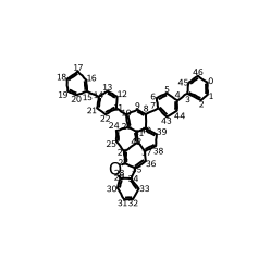 c1ccc(-c2ccc(-c3cc(-c4ccc(-c5ccccc5)cc4)c4ccc5c6oc7ccccc7c6cc6ccc3c4c65)cc2)cc1